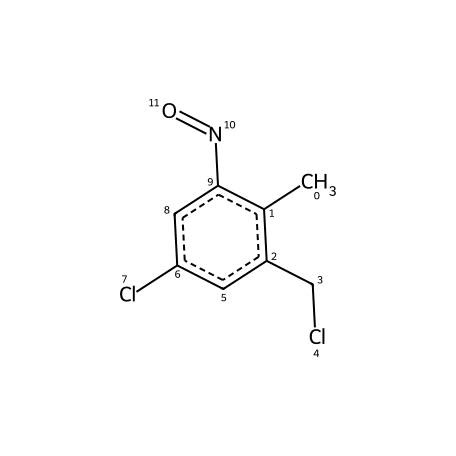 Cc1c(CCl)cc(Cl)cc1N=O